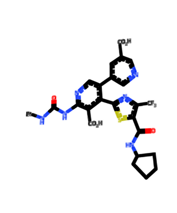 CCNC(=O)Nc1ncc(-c2cncc(C(=O)O)c2)c(-c2nc(C(F)(F)F)c(C(=O)NC3CCCC3)s2)c1C(=O)O